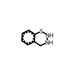 c1ccc2c(c1)CNNS2